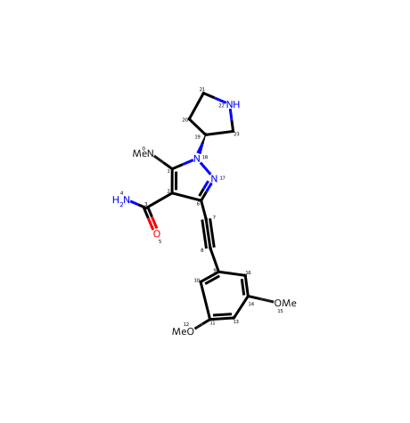 CNc1c(C(N)=O)c(C#Cc2cc(OC)cc(OC)c2)nn1[C@H]1CCNC1